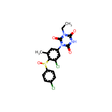 CCn1c(=O)[nH]c(=O)n(-c2cc(C)c([S+]([O-])c3ccc(Cl)cc3)c(Cl)c2)c1=O